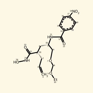 C=CC[C@@H](C[C@@H](COCOCC)NC(=O)c1ccc([N+](=O)[O-])cc1)C(=O)NO